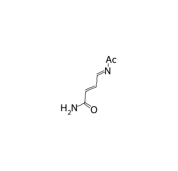 CC(=O)N=CC=CC(N)=O